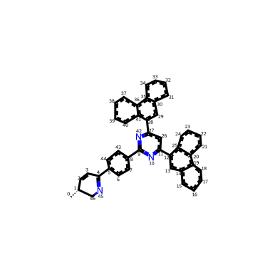 C[C@@H]1C=CC(c2ccc(-c3nc(-c4cc5ccccc5c5ccccc45)cc(-c4cc5ccccc5c5ccccc45)n3)cc2)=NC1